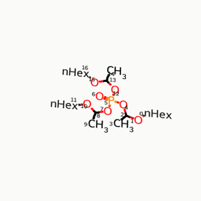 CCCCCCOC(C)OP(=O)(OC(C)OCCCCCC)OC(C)OCCCCCC